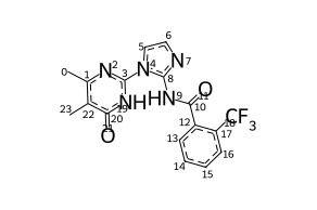 Cc1nc(-n2ccnc2NC(=O)c2ccccc2C(F)(F)F)[nH]c(=O)c1C